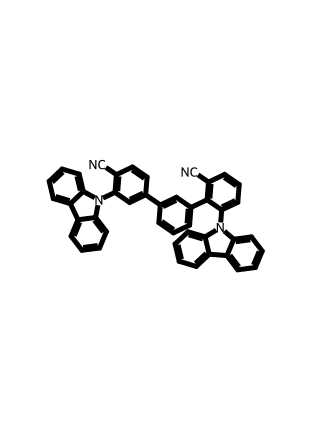 N#Cc1ccc(-c2cccc(-c3c(C#N)cccc3-n3c4ccccc4c4ccccc43)c2)cc1-n1c2ccccc2c2ccccc21